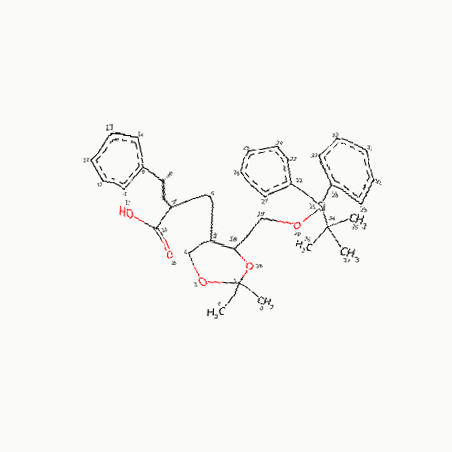 CC1(C)OCC(CC(Cc2ccccc2)C(=O)O)C(CO[Si](c2ccccc2)(c2ccccc2)C(C)(C)C)O1